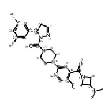 CN(C)C1CN(C(=O)c2nc(N3CCN(C(=O)N4N=CC[C@H]4c4cc(F)cc(F)c4)CC3)ncc2F)C1